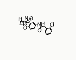 NS(=O)(=O)c1cc(NC(=O)Cc2ccccc2Cl)ccc1OC1CCC1